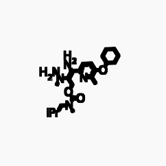 Cc1nc(/C(N)=C(\COC(=O)N(C)CC(C)C)N(C)N)ccc1OC1CCCCC1